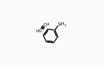 C#C.[SiH3]c1ccccc1